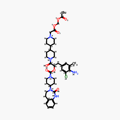 CC(C)(C)C(=O)OCOC(=O)CN1CCC(C2CCN(C(=O)[C@@H](Cc3cc(Cl)c(N)c(C(F)(F)F)c3)OC(=O)N3CCC(N4CCc5ccccc5NC4=O)CC3)CC2)CC1